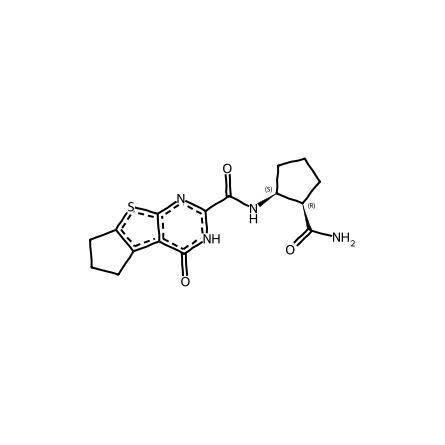 NC(=O)[C@@H]1CCC[C@@H]1NC(=O)c1nc2sc3c(c2c(=O)[nH]1)CCC3